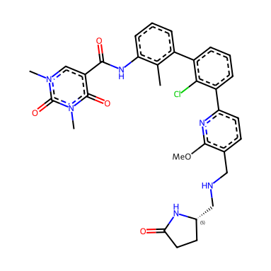 COc1nc(-c2cccc(-c3cccc(NC(=O)c4cn(C)c(=O)n(C)c4=O)c3C)c2Cl)ccc1CNC[C@@H]1CCC(=O)N1